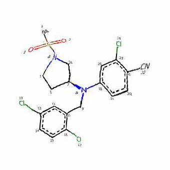 CCCS(=O)(=O)N1CC[C@H](N(Cc2cc(Cl)ccc2Cl)c2ccc(C#N)c(Cl)c2)C1